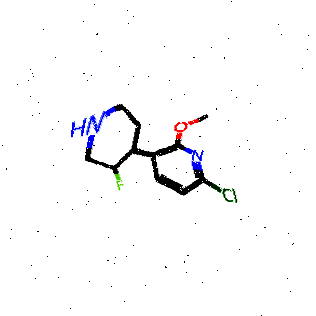 COc1nc(Cl)ccc1C1CCNCC1F